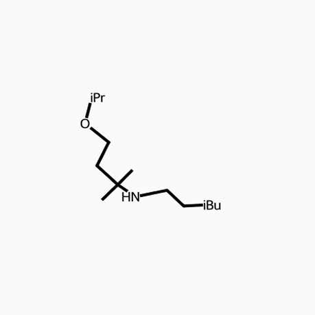 CCC(C)CCNC(C)(C)CCOC(C)C